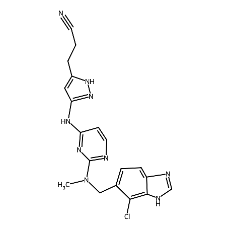 CN(Cc1ccc2nc[nH]c2c1Cl)c1nccc(Nc2cc(CCC#N)[nH]n2)n1